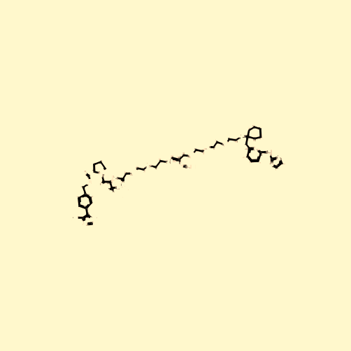 Cc1ncsc1-c1ccc(CNC(=O)[C@@H]2CCCN2C(=O)C(NC(=O)COCCNCCN/C=C(/COCCOCCOCCNC2(Cc3cccc(Nc4nccs4)n3)CCCCC2)N=N)C(C)(C)C)cc1